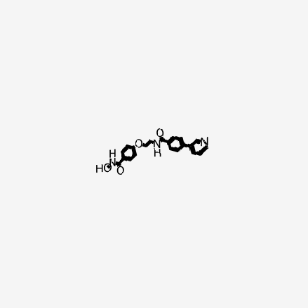 O=C(NO)c1ccc(OCCNC(=O)c2ccc(-c3cccnc3)cc2)cc1